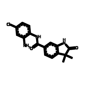 CC1(C)C(=O)Nc2cc(C(=O)Nc3ccc(Cl)cc3N)ccc21